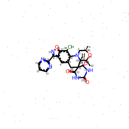 C[C@@H]1CN2c3c(cc4c(-c5ncccn5)noc4c3Cl)CC3(C(=O)NC(=O)NC3=O)[C@H]2[C@H](C)O1